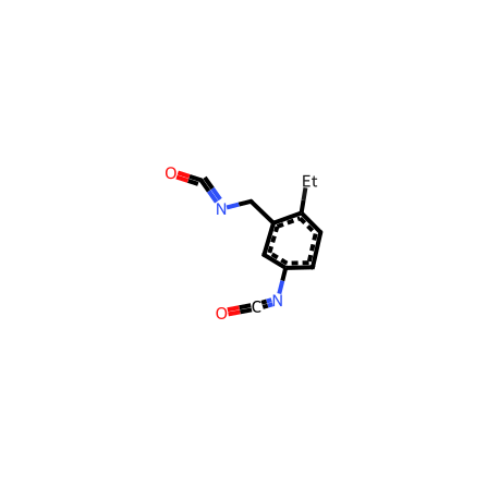 CCc1ccc(N=C=O)cc1CN=C=O